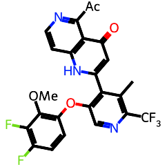 COc1c(Oc2cnc(C(F)(F)F)c(C)c2-c2cc(=O)c3c(C(C)=O)nccc3[nH]2)ccc(F)c1F